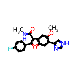 CNC(=O)c1c(-c2ccc(F)cc2)oc2cc(-c3c[nH]cn3)c(OC)cc12